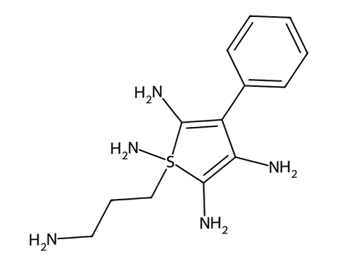 NCCCS1(N)C(N)=C(N)C(c2ccccc2)=C1N